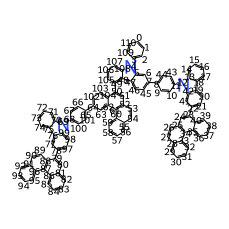 c1ccc(-n2c3cc(-c4ccc(-n5c6ccccc6c6ccc(-c7cc8ccc9ccccc9c8c8ccccc78)cc65)cc4)ccc3c3c(-c4cc5ccc6ccccc6c5c5cc(-c6ccc(-n7c8ccccc8c8cc(-c9cc%10ccccc%10c%10c9ccc9ccccc9%10)ccc87)cc6)ccc45)cccc32)cc1